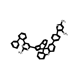 Cc1cc(C)c(-c2ccc(-c3ccc4c(c3)C3(c5ccccc5O4)c4ccccc4-c4cc(-c5cc(-c6ccccc6-c6ccccc6)nc(C)n5)ccc43)cc2)cn1